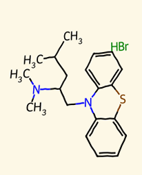 Br.CC(C)CC(CN1c2ccccc2Sc2ccccc21)N(C)C